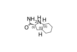 NC(=O)[C@@H]1C[C@@H]2CCCC[C@@H]2N1